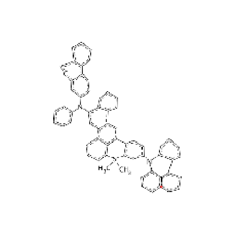 C[Si]1(C)c2cc(N(c3ccccc3)c3ccccc3-c3ccccc3)ccc2-c2cc3c4ccccc4c(N(c4ccccc4)c4ccc5c(ccc6ccccc65)c4)cc3c3cccc1c23